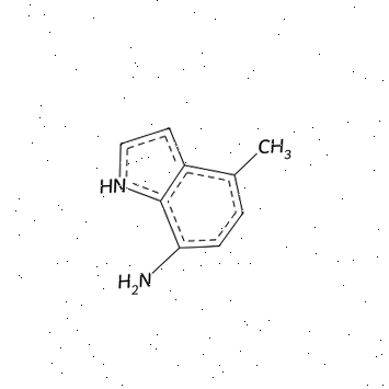 Cc1ccc(N)c2[nH]ccc12